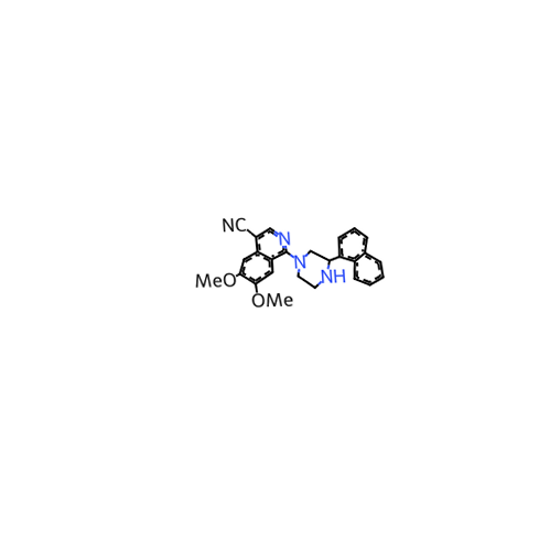 COc1cc2c(C#N)cnc(N3CCNC(c4cccc5ccccc45)C3)c2cc1OC